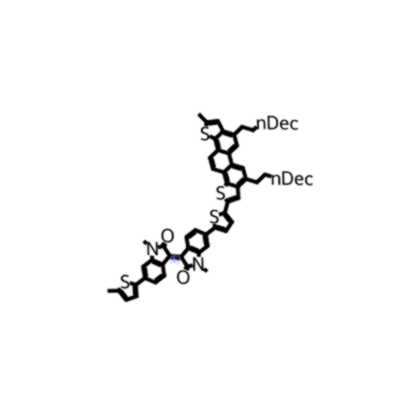 CCCCCCCCCCCCc1cc2c3cc(CCCCCCCCCCCC)c4cc(-c5ccc(-c6ccc7c(c6)N(C)C(=O)/C7=C6/C(=O)N(C)c7cc(-c8ccc(C)s8)ccc76)s5)sc4c3ccc2c2sc(C)cc12